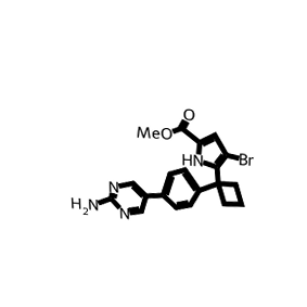 COC(=O)c1cc(Br)c(C2(c3ccc(-c4cnc(N)nc4)cc3)CCC2)[nH]1